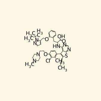 CC#Cc1sc2ncnc(NC(Cc3ccccc3OCc3ccnn3C(C)(C)C)C(=O)O)c2c1-c1ccc(OCCN2CCN(C)CC2)c(Cl)c1C